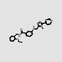 CCOc1ccccc1CNC(=O)c1cccc(NCc2nnc(-c3ccncn3)n2C)c1